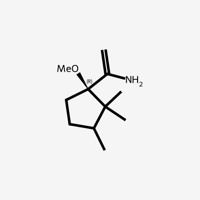 C=C(N)[C@@]1(OC)CCC(C)C1(C)C